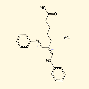 Cl.O=C(O)CCCCC(=C/Nc1ccccc1)/C=N/c1ccccc1